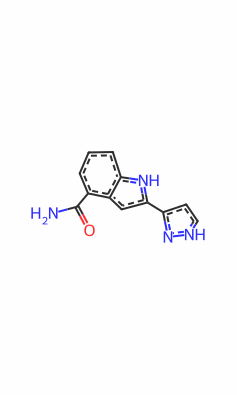 NC(=O)c1cccc2[nH]c(-c3cc[nH]n3)cc12